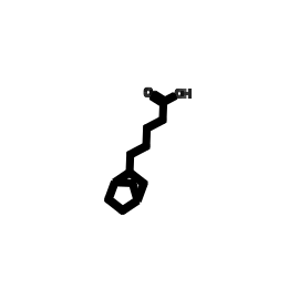 O=C(O)CCCCC1CC2CCC1C2